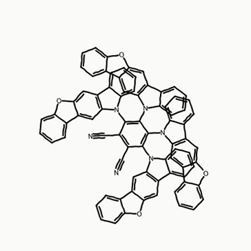 N#Cc1c(C#N)c(-n2c3ccccc3c3cc4oc5ccccc5c4cc32)c(-n2c3ccccc3c3cc4oc5ccccc5c4cc32)c(-n2c3ccccc3c3cc4oc5ccccc5c4cc32)c1-n1c2ccccc2c2cc3oc4ccccc4c3cc21